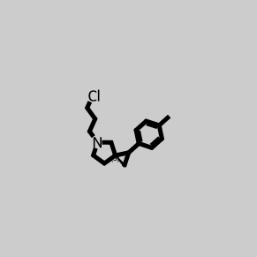 Cc1ccc(C2C[C@]23CCN(CCCCl)C3)cc1